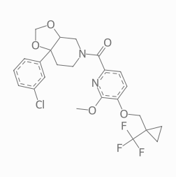 COc1nc(C(=O)N2CCC3(c4cccc(Cl)c4)OCOC3C2)ccc1OCC1(C(F)(F)F)CC1